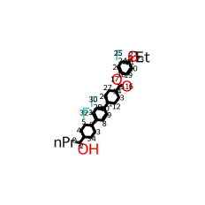 CCCC(O)C1CCC(c2ccc(C3CCC(C(=O)Oc4ccc(OCC)c(F)c4)CC3)c(F)c2F)CC1